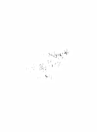 COc1cc2c(cc1OCCCOc1cc3c(cc1OC)C(=O)N1C=C(c4cccc(N)c4)C[C@H]1C(=O)N3COCC[Si](C)(C)C)N(COCC[Si](C)(C)C)C(=O)[C@@H]1CC(OS(=O)(=O)C(F)(F)F)=CN1C2=O